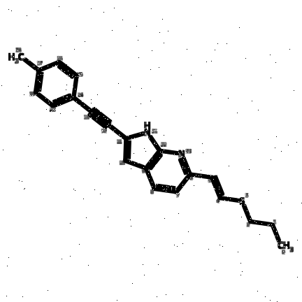 CCCS/C=C/c1ccc2cc(C#Cc3ccc(C)cc3)[nH]c2n1